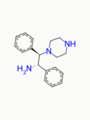 N[C@@H](c1ccccc1)[C@@H](c1ccccc1)N1CCNCC1